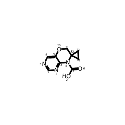 O=C(O)N1c2ncncc2OCC12CC2